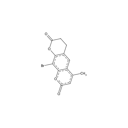 Cc1cc(=O)oc2c(Br)c3c(cc12)CCC(=O)O3